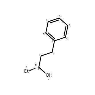 [CH2]C[C@@H](O)CCc1ccccc1